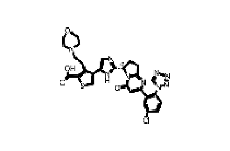 O=C(O)c1scc(-c2cnc([C@@H]3CCc4nc(-c5cc(Cl)ccc5-n5cnnn5)cc(=O)n43)[nH]2)c1CCN1CCOCC1